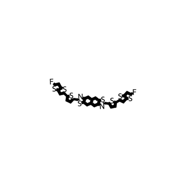 Fc1cc2sc(-c3ccc(-c4nc5cc6cc7sc(-c8ccc(-c9cc%10sc(F)cc%10s9)s8)nc7cc6cc5s4)s3)cc2s1